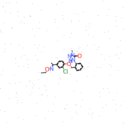 CCON=C(C)c1ccc(OCc2ccccc2-n2nnn(C)c2=O)c(Cl)c1